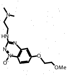 COCCOc1ccc2c(c1)nc(NCCN(C)C)n[n+]2[O-]